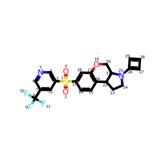 O=S(=O)(c1cncc(C(F)(F)F)c1)c1ccc2c(c1)OCC1C2CCN1C1=CC=C1